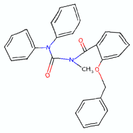 CN(C(=O)c1ccccc1OCc1ccccc1)C(=O)N(c1ccccc1)c1ccccc1